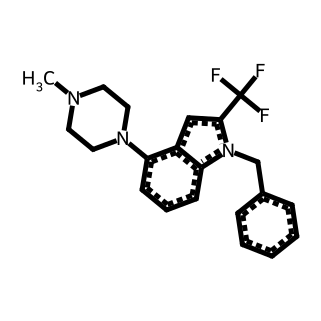 CN1CCN(c2cccc3c2cc(C(F)(F)F)n3Cc2ccccc2)CC1